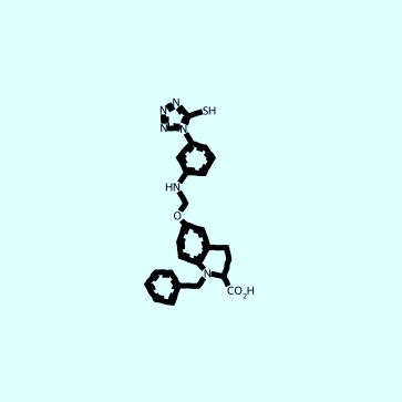 O=C(O)C1CCc2cc(OCNc3cccc(-n4nnnc4S)c3)ccc2N1Cc1ccccc1